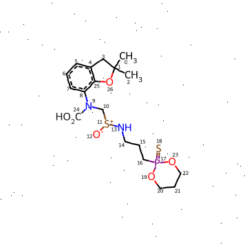 CC1(C)Cc2cccc(N(C[S+]([O-])NCCCP3(=S)OCCCO3)C(=O)O)c2O1